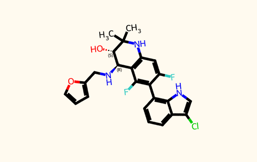 CC1(C)Nc2cc(F)c(-c3cccc4c(Cl)c[nH]c34)c(F)c2[C@@H](NCc2ccco2)[C@@H]1O